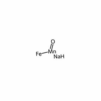 [NaH].[O]=[Mn][Fe]